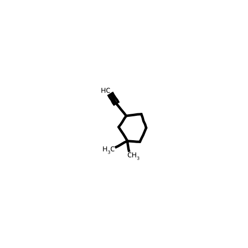 C#CC1CCCC(C)(C)C1